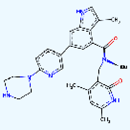 CC[C@H](C)N(Cc1c(C)cc(C)[nH]c1=O)C(=O)c1cc(-c2ccc(N3CCNCC3)nc2)cc2[nH]cc(C)c12